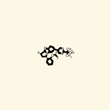 CC(C)(O)c1ncc(-c2ccc3nc4n(c3c2)[C@@H](c2ccccc2OC(F)F)C[C@@H]4F)cn1